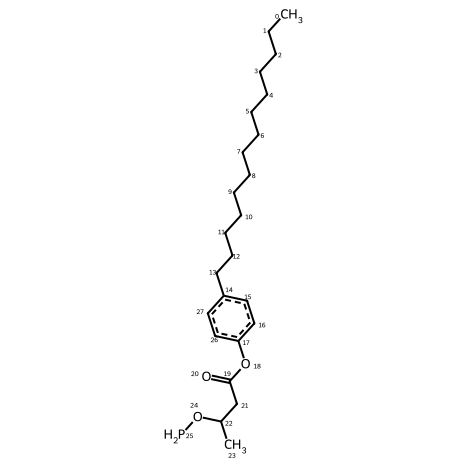 CCCCCCCCCCCCCCc1ccc(OC(=O)CC(C)OP)cc1